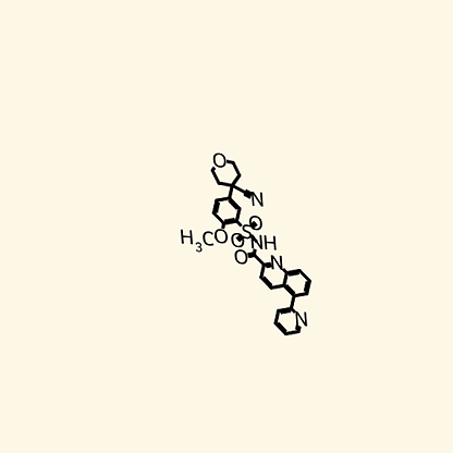 COc1ccc(C2(C#N)CCOCC2)cc1S(=O)(=O)NC(=O)c1ccc2c(-c3ccccn3)cccc2n1